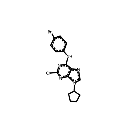 Clc1nc(Nc2ccc(Br)cc2)c2ncn(C3CCCC3)c2n1